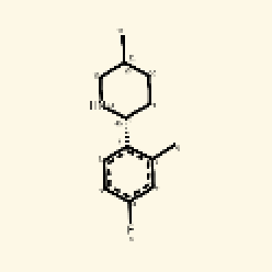 Cc1cc(F)ccc1[C@H]1CC[C@H](C)CN1